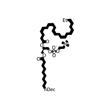 CC/C=C\C/C=C\C/C=C\C/C=C\C/C=C\C/C=C\CCC(=O)O[C@H](COC(=O)CCCCCCCCCCCCCCCCCC)COP(=O)([O-])OCC[N+](C)(C)C